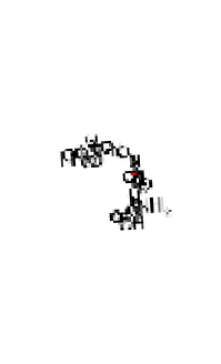 Nc1nnc(-c2ccccc2O)cc1N1CCC(C(=O)N2CC3(CN(CC4CCN(c5ccc6c(c5)C(=O)N(C5CCC(=O)NC5=O)C6=O)CC4)C3)C2)(c2ccccc2)CC1